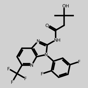 CC(C)(O)CC(=O)Nc1nc2ccc(C(F)(F)F)nc2n1-c1cc(F)ccc1F